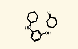 O=C1CCCCC1.Oc1cccc(NC2CCCCC2)c1